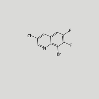 Fc1cc2cc(Cl)cnc2c(Br)c1F